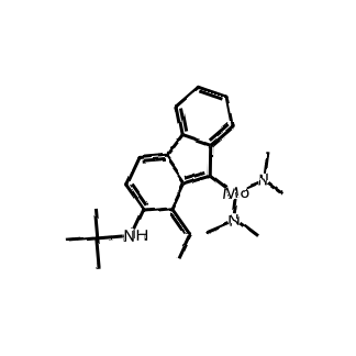 CC=c1c(NC(C)(C)C)ccc2c1=[C]([Mo]([N](C)C)[N](C)C)c1ccccc1-2